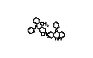 C=C(CCc1ccc(CCC)c(P(c2ccccc2)c2ccccc2)c1)/C(=C\C)P(c1ccccc1)c1ccccc1